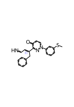 CSc1cccc(-n2ccc(=O)c(/C(=C/C=N)Cc3ccccc3)n2)c1